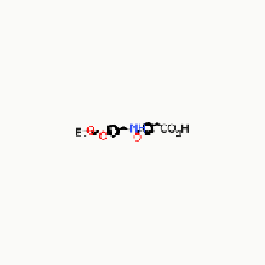 CCOCCOc1ccc(CCNC(=O)c2ccc(CC(=O)O)cc2)cc1